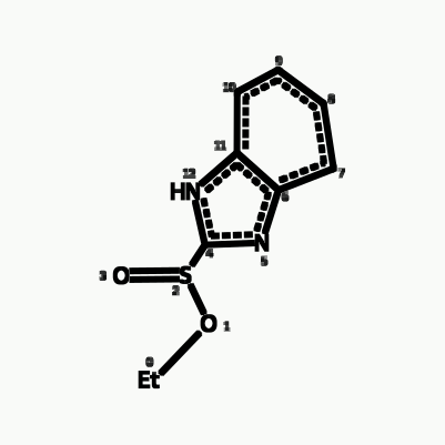 CCOS(=O)c1nc2ccccc2[nH]1